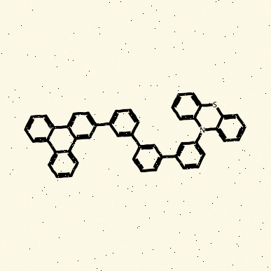 c1cc(-c2cccc(-c3ccc4c5ccccc5c5ccccc5c4c3)c2)cc(-c2cccc(N3c4ccccc4Sc4ccccc43)c2)c1